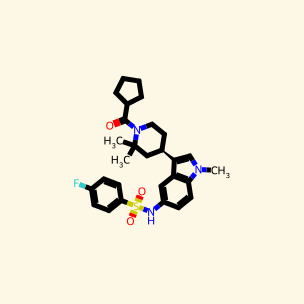 Cn1cc([C@@H]2CCN(C(=O)C3CCCC3)C(C)(C)C2)c2cc(NS(=O)(=O)c3ccc(F)cc3)ccc21